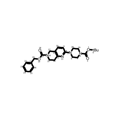 CC(C)(C)OC(=O)N1CCN(c2ccc3c(n2)CCN(C(=O)OCc2ccccc2)C3)CC1